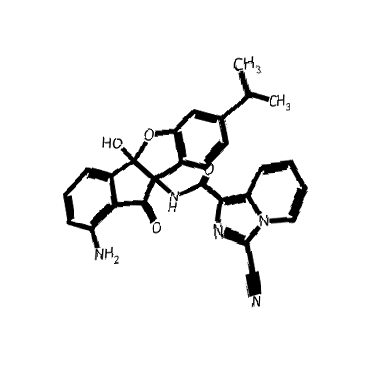 CC(C)c1ccc2c(c1)OC1(O)c3cccc(N)c3C(=O)C21NC(=O)c1nc(C#N)n2ccccc12